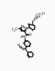 [N-]=[N+]=NC(c1ccccc1)c1cccc(NC(=O)c2cc(C(F)(F)F)nn2-c2cccc(CNC(=O)O)c2)c1